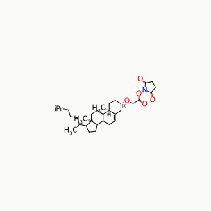 CC(C)CCCC(C)C1CCC2C3CC=C4C[C@@H](OCC(=O)ON5C(=O)CCC5=O)CC[C@]4(C)C3CC[C@]12C